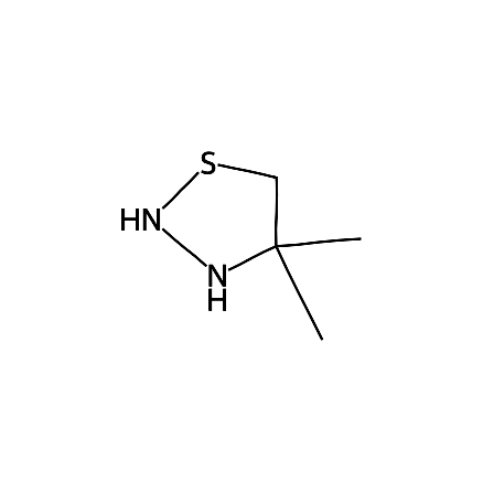 CC1(C)CSNN1